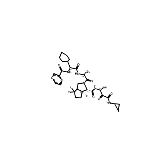 CCC[C@H](NC(=O)[C@@H]1[C@H]2CCC(F)(F)C2CN1C(=O)[C@@H](NC(=O)[C@@H](NC(=O)c1cnccn1)C1CCCCC1)C(C)(C)C)C(=O)C(=O)NC1CC1